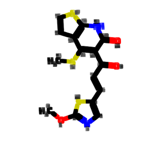 COc1ncc(/C=C/C(=O)c2c(SC)c3ccsc3[nH]c2=O)s1